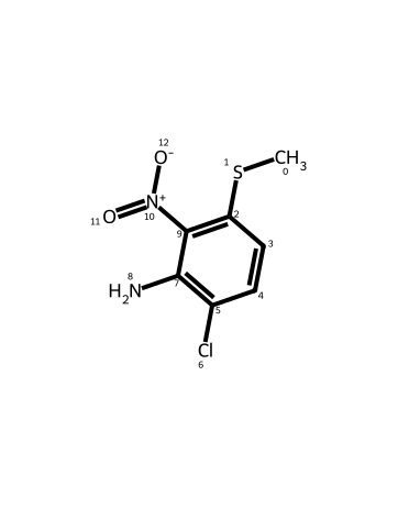 CSc1ccc(Cl)c(N)c1[N+](=O)[O-]